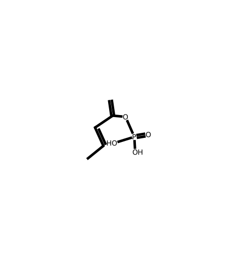 C=C(C=CC)OP(=O)(O)O